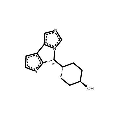 O[C@H]1CC[C@H]([C@@H]2c3sccc3-c3cncn32)CC1